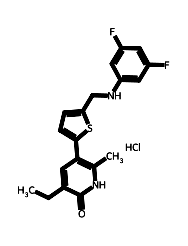 CCc1cc(-c2ccc(CNc3cc(F)cc(F)c3)s2)c(C)[nH]c1=O.Cl